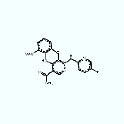 COc1cccc2c1Nc1c(C(N)=O)cnc(Nc3ccc(F)cn3)c1O2